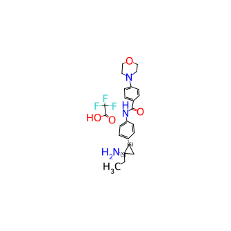 CC[C@]1(N)C[C@H]1c1ccc(NC(=O)c2ccc(N3CCOCC3)cc2)cc1.O=C(O)C(F)(F)F